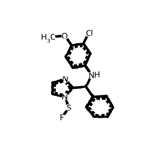 COc1ccc(NC(c2ccccc2)c2nccn2SF)cc1Cl